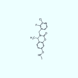 CC1c2ccc(OPI)cc2OC(=O)N1Cc1ccnc(Cl)c1F